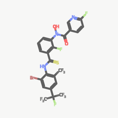 O=C(c1ccc(F)nc1)N(O)c1cccc(C(=S)Nc2c(Br)cc(C(F)(C(F)(F)F)C(F)(F)F)cc2C(F)(F)F)c1F